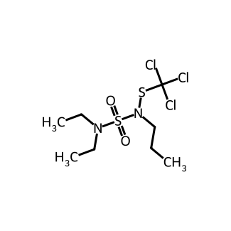 CCCN(SC(Cl)(Cl)Cl)S(=O)(=O)N(CC)CC